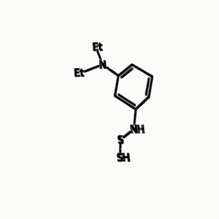 CCN(CC)c1cccc(NSS)c1